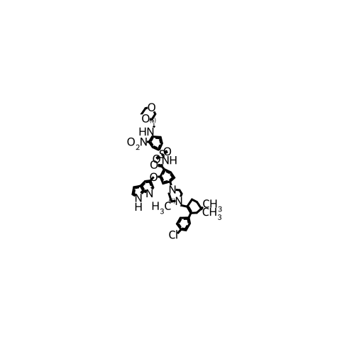 C[C@H]1CN(c2ccc(C(=O)NS(=O)(=O)c3ccc(NC[C@H]4COCCO4)c([N+](=O)[O-])c3)c(Oc3cnc4[nH]ccc4c3)c2)CCN1CC1=C(c2ccc(Cl)cc2)CC(C)(C)CC1